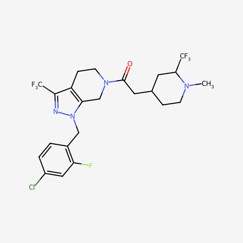 CN1CCC(CC(=O)N2CCc3c(C(F)(F)F)nn(Cc4ccc(Cl)cc4F)c3C2)CC1C(F)(F)F